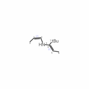 C/C=C\N/C(=C/C)C(C)(C)C